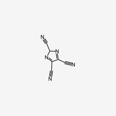 N#CC1=NC(C#N)N=C1C#N